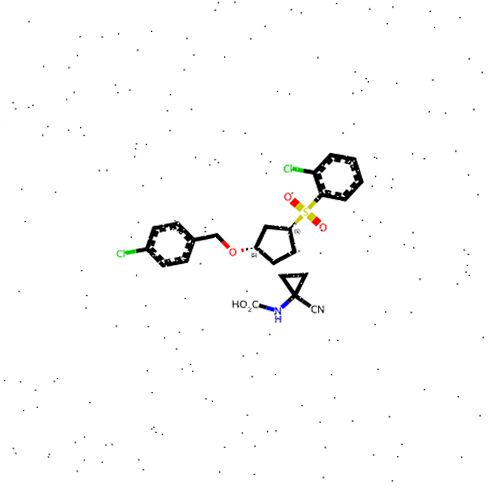 N#CC1(NC(=O)O)CC1.O=S(=O)(c1ccccc1Cl)[C@H]1CC[C@H](OCc2ccc(Cl)cc2)C1